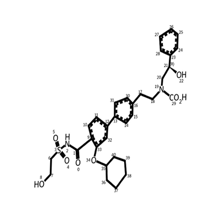 O=C(NS(=O)(=O)CCO)c1ccc(-c2ccc(CCN(C[C@H](O)c3ccccc3)C(=O)O)cc2)cc1OC1CCCCC1